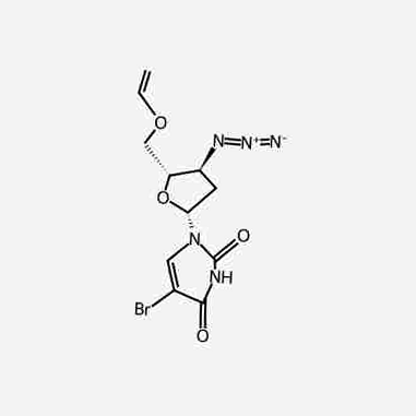 C=COC[C@H]1O[C@@H](n2cc(Br)c(=O)[nH]c2=O)C[C@@H]1N=[N+]=[N-]